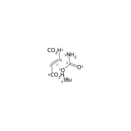 CC(C)(C)OC(N)=O.O=C(O)/C=C/C(=O)O